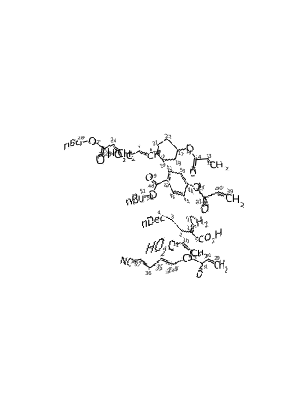 C=C(CCCCCCCCCCCC)C(=O)O.C=CC(=O)O.C=CC(=O)O.C=CC(=O)OC1CCCCC1.C=CC(=O)OCCCC.C=CC(=O)OCCCCC#N.C=CC(=O)Oc1ccc(C(=O)OCCCC)cc1